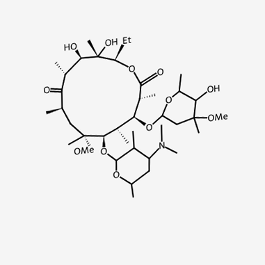 CC[C@H]1OC(=O)[C@H](C)[C@@H](OC2CC(C)(OC)C(O)C(C)O2)[C@H](C)[C@@H](OC2OC(C)CC(N(C)C)C2C)[C@](C)(OC)C[C@@H](C)C(=O)[C@H](C)[C@@H](O)[C@]1(C)O